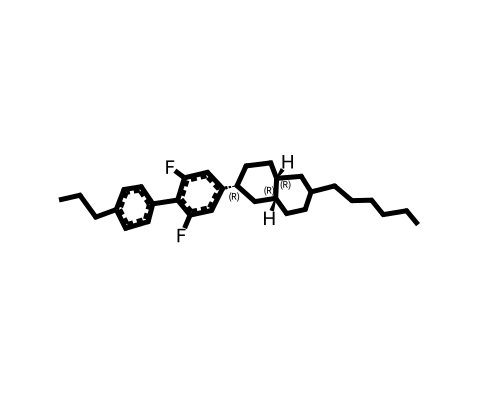 CCCCCCC1CC[C@@H]2C[C@H](c3cc(F)c(-c4ccc(CCC)cc4)c(F)c3)CC[C@@H]2C1